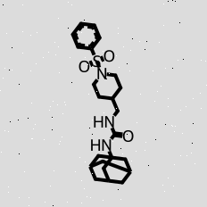 O=C(NCC1CCN(S(=O)(=O)c2ccccc2)CC1)NC12CC3CC(CC(C3)C1)C2